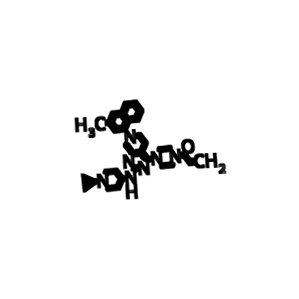 C=CC(=O)N1CCN(c2nc(NC3CCN(C4CC4)CC3)nc3c2CCN(c2cc(C)cc4ccccc24)C3)CC1